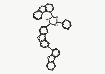 c1ccc(C2N=C(c3cccc4sc5ccccc5c34)NC(c3ccc4sc5ccc(-c6cccc7c6sc6ccccc67)cc5c4c3)N2)cc1